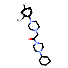 Cc1ccc(N2CCN(CC(=O)N3CCN(C4CCCCC4)CC3)CC2)c(C)c1